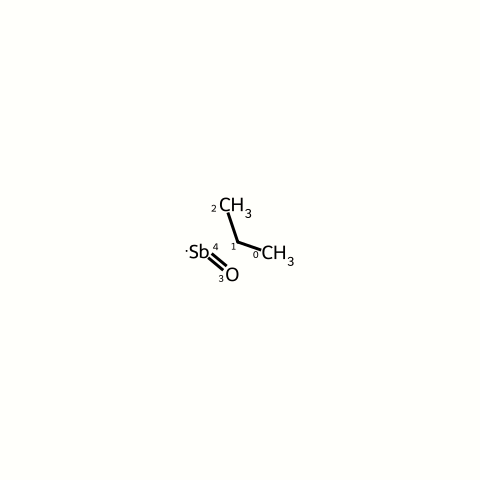 CCC.[O]=[Sb]